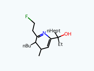 CCCCCCCC(O)(CC)C1=CC(C)C(CCCC)C(CCF)=N1